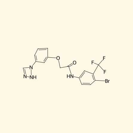 O=C(COc1cccc(-n2cn[nH]2)c1)Nc1ccc(Br)c(C(F)(F)F)c1